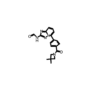 CC1(C)CN(C(=O)c2ccc(-c3cccc4nc(NC=O)nn34)cc2)C1